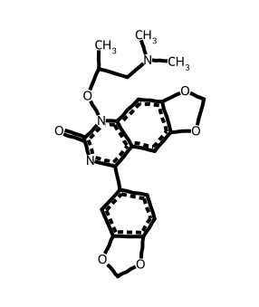 CC(CN(C)C)On1c(=O)nc(-c2ccc3c(c2)OCO3)c2cc3c(cc21)OCO3